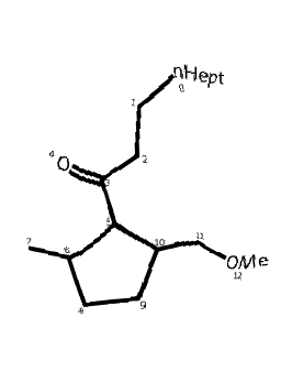 CCCCCCCCCC(=O)C1C(C)CCC1COC